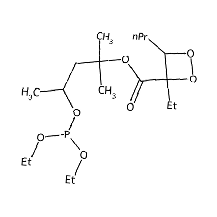 CCCC1OOC1(CC)C(=O)OC(C)(C)CC(C)OP(OCC)OCC